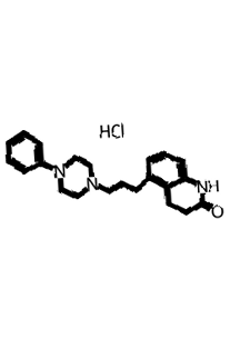 Cl.O=C1CCc2c(CCCN3CCN(c4ccccc4)CC3)cccc2N1